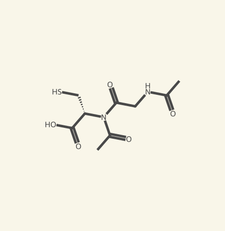 CC(=O)NCC(=O)N(C(C)=O)[C@@H](CS)C(=O)O